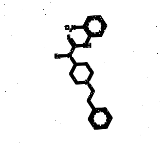 CCN(C(=S)Nc1ccccc1[N+](=O)[O-])C1CCN(CCc2ccccc2)CC1